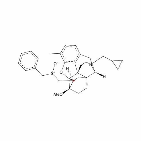 CO[C@]12CC[C@@]3(C[C@@H]1C[S+]([O-])Cc1ccccc1)[C@H]1Cc4ccc(C)c5c4[C@@]3(CCN1CC1CC1)[C@H]2O5